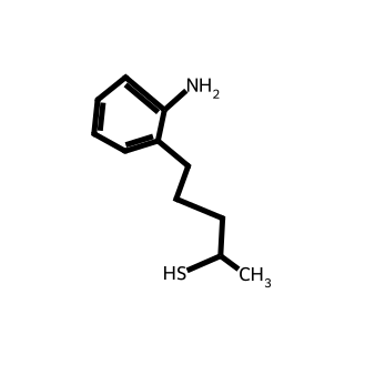 CC(S)CCCc1ccccc1N